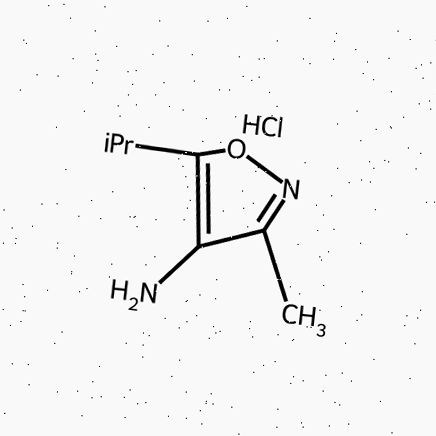 Cc1noc(C(C)C)c1N.Cl